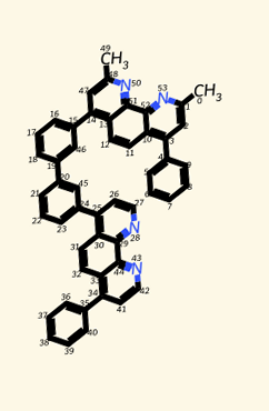 Cc1cc(-c2ccccc2)c2ccc3c(-c4cccc(-c5cccc(-c6ccnc7c6ccc6c(-c8ccccc8)ccnc67)c5)c4)cc(C)nc3c2n1